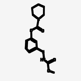 COC(=O)NSc1cccc(OC(=O)N2CCCCC2)c1